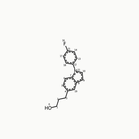 OCCCc1ccc2c(ccn2-c2ccc(F)cc2)c1